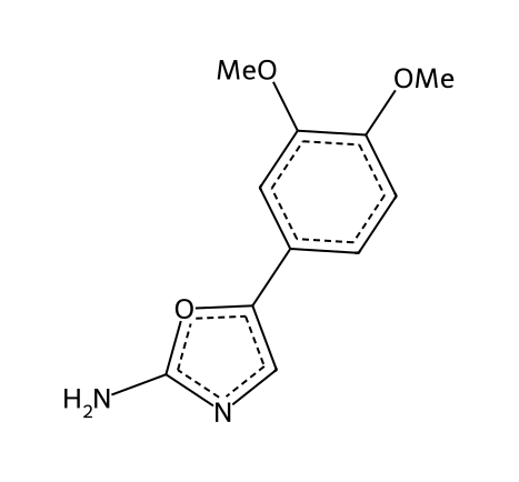 COc1ccc(-c2cnc(N)o2)cc1OC